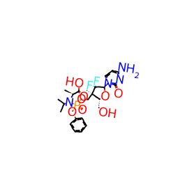 CC(C)N([C@@H](C)C(=O)O)P(=O)(OC[C@]1(C)[C@@H](CO)O[C@H](n2ccc(N)nc2=O)C1(F)F)Oc1ccccc1